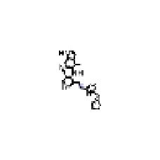 Cc1c(Nc2c(C#N)cncc2/C=C/c2csc(CN3CCCC3)n2)ccc2[nH]ccc12